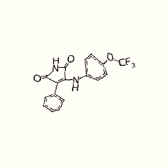 O=C1NC(=O)C(c2ccccc2)=C1Nc1ccc(OC(F)(F)F)cc1